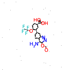 Nc1c(OC=O)nnc2cc(-c3cc(B(O)O)ccc3OC(F)(F)C(F)F)ccc12